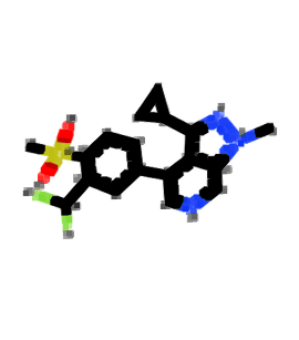 Cn1nc(C2CC2)c2c(-c3ccc(S(C)(=O)=O)c(C(F)F)c3)cncc21